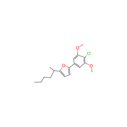 CCCCC(C)c1ccc(-c2cc(OC)c(Cl)c(OC)c2)o1